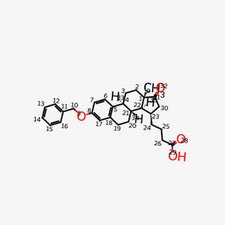 C[C@]12CC[C@@H]3c4ccc(OCc5ccccc5)cc4CC[C@H]3[C@@H]1[C@H](CCCC(=O)O)CC2=O